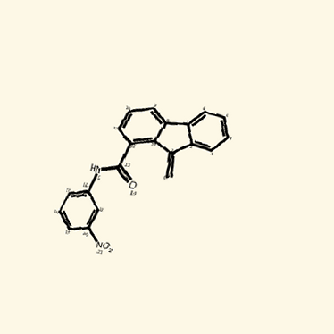 C=C1c2ccccc2-c2cccc(C(=O)Nc3cccc([N+](=O)[O-])c3)c21